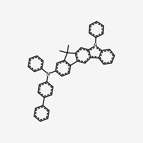 CC1(C)c2cc(N(c3ccccc3)c3ccc(-c4ccccc4)cc3)ccc2-c2cc3c4ccccc4n(-c4ccccc4)c3cc21